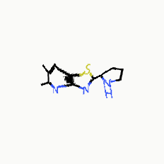 Cc1cc2sc(C3CCCN3)nc2nc1C